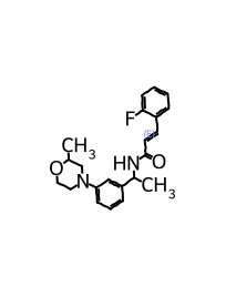 CC1CN(c2cccc(C(C)NC(=O)/C=C/c3ccccc3F)c2)CCO1